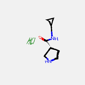 Cl.O=C(NC1CC1)[C@@H]1CCNC1